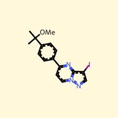 COC(C)(C)c1ccc(-c2ccn3ncc(I)c3n2)cc1